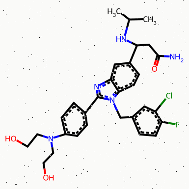 CC(C)NC(CC(N)=O)c1ccc2c(c1)nc(-c1ccc(N(CCO)CCO)cc1)n2Cc1ccc(F)c(Cl)c1